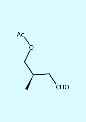 CC(=O)OC[C@H](C)CC=O